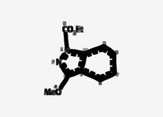 CCOC(=O)n1nc(OC)c2ccccc21